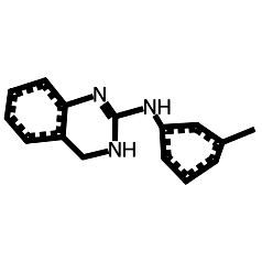 Cc1cccc(NC2=Nc3ccccc3CN2)c1